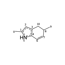 Cc1cc2c([nH]1)C=CC(C)C2